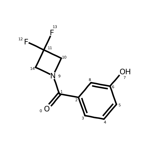 O=C(c1cccc(O)c1)N1CC(F)(F)C1